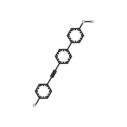 CCOc1ccc(-c2ccc(C#Cc3ccc(Cl)cc3)cc2)cc1